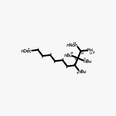 CCCCCCCCCCCCCCCCC(CCCC)C(CCCC)(CCCC)C(P)CCCCCCCCC